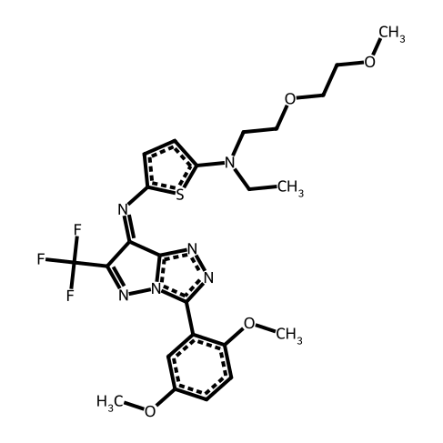 CCN(CCOCCOC)c1ccc(/N=C2/C(C(F)(F)F)=Nn3c2nnc3-c2cc(OC)ccc2OC)s1